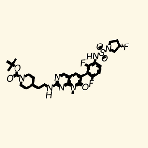 Cn1c(=O)c(-c2c(F)ccc(NS(=O)(=O)N3CC[C@@H](F)C3)c2F)cc2cnc(NCCC3CCN(C(=O)OC(C)(C)C)CC3)nc21